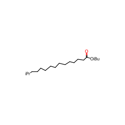 CC(C)CCCCCCCCCCCCC(=O)OCC(C)C